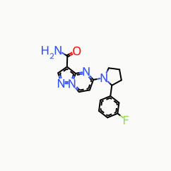 NC(=O)c1cnn2ccc(N3CCCC3c3cccc(F)c3)nc12